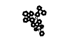 c1ccc(-c2ccccc2-c2ccc(N(c3ccc4c(c3)C(c3ccccc3)(c3ccccc3)c3ccccc3-4)c3cccc4c3-c3ccccc3C43c4ccccc4N(c4ccccc4)c4ccccc43)cc2)cc1